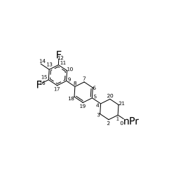 CCCC1CCC(C2=CCC(c3cc(F)c(C)c(F)c3)C=C2)CC1